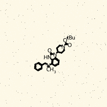 CN(Cc1ccccc1)c1cccc2c1[nH]c(=O)n2C1CCN(C(=O)OC(C)(C)C)CC1